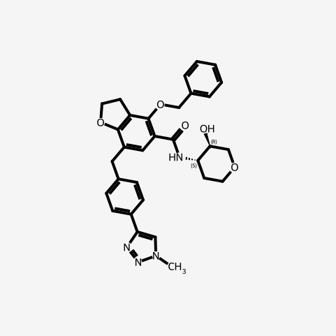 Cn1cc(-c2ccc(Cc3cc(C(=O)N[C@H]4CCOC[C@@H]4O)c(OCc4ccccc4)c4c3OCC4)cc2)nn1